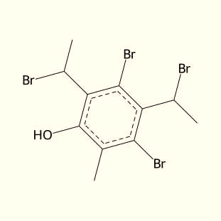 Cc1c(O)c(C(C)Br)c(Br)c(C(C)Br)c1Br